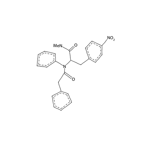 CNC(=O)C(Cc1ccc([N+](=O)[O-])cc1)N(C(=O)Cc1ccccc1)c1ccccc1